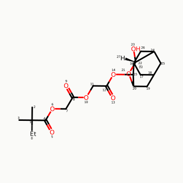 CCC(C)(C)C(=O)OCC(=O)OCC(=O)OC1C2CC3CC1O[C@H](O)C(C3)C2